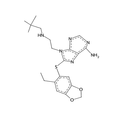 CCc1cc2c(cc1Sc1nc3c(N)ncnc3n1CCNCC(C)(C)C)OCO2